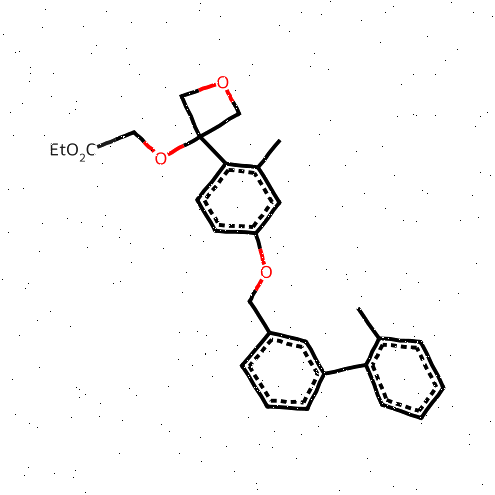 CCOC(=O)COC1(c2ccc(OCc3cccc(-c4ccccc4C)c3)cc2C)COC1